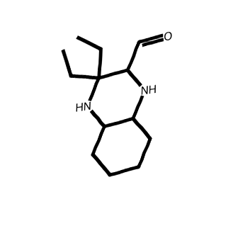 CCC1(CC)NC2CCCCC2NC1C=O